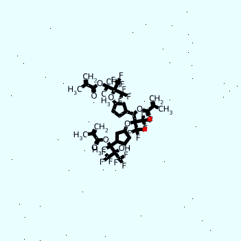 C=C(C)C(=O)OC(C1CCC(OC(C(F)(F)F)(C(F)(F)F)C(C)(C)OC(=O)C(=C)C)C1)C(OC1CCC(C(C)(OC(=O)C(=C)C)C(O)(C(F)(F)F)C(F)(F)F)C1)(C(F)(F)F)C(F)(F)F